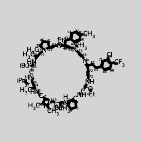 CCO[C@@H]1CNCC2(CCCC2)NC(C)[C@H]([C@@H](C)CC)N2C(C)[C@@H](C)C2CNC(C)[C@H](CC(C)C)NC[C@H]([C@@H](C)CC)NC(C)[C@H](C)N2CCCC2=CN(CC)C(Cc2ccc(C)cc2)=CN(C)C=CN=C(CCc2ccc(C(F)(F)F)c(Cl)c2)C=CN1